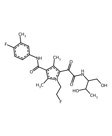 Cc1cc(NC(=O)c2c(C)c(C(=O)C(=O)NC(CO)C(C)O)n(CCF)c2C)ccc1F